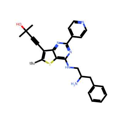 CC(C)(O)C#Cc1c(C(C)(C)C)sc2c(NCC(N)Cc3ccccc3)nc(-c3ccncc3)nc12